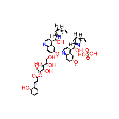 C=C[C@H]1C[N@]2CC[C@H]1C[C@H]2[C@H](O)c1ccnc2ccc(OC)cc12.C=C[C@H]1C[N@]2CC[C@H]1C[C@H]2[C@H](O)c1ccnc2ccc(OC)cc12.O=C[C@H](OC(=O)/C=C/c1ccccc1O)[C@@H](O)[C@H](O)[C@H](O)CO.O=S(=O)(O)O